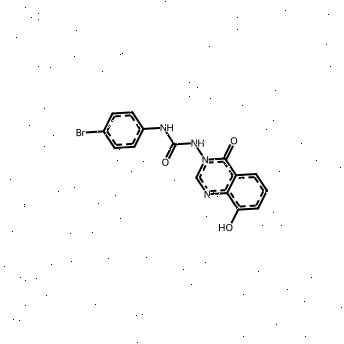 O=C(Nc1ccc(Br)cc1)Nn1cnc2c(O)cccc2c1=O